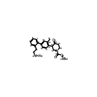 CC(=O)NCCc1ccccc1-c1ccc(C2CN(C(=O)OC(C)(C)C)CCC2=O)c(C)c1